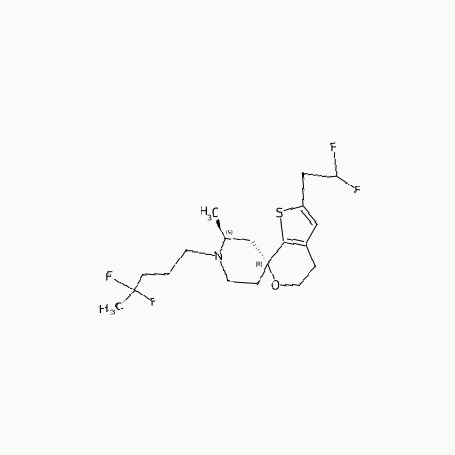 C[C@H]1C[C@@]2(CCN1CCCC(C)(F)F)OCCc1cc(CC(F)F)sc12